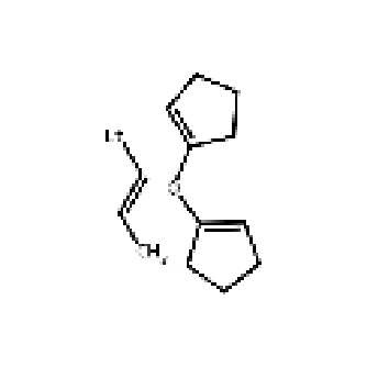 C1=C(OC2=CCCC2)CCC1.CC=CCC